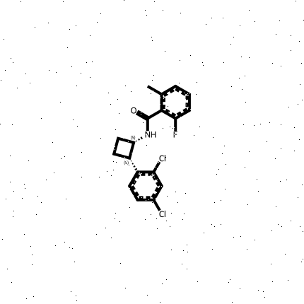 Cc1cccc(F)c1C(=O)N[C@H]1CC[C@H]1c1ccc(Cl)cc1Cl